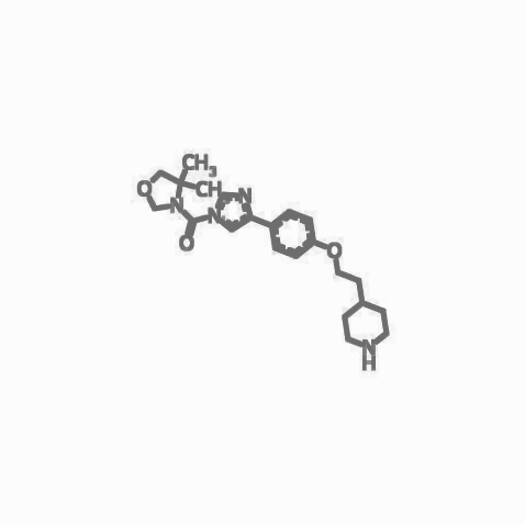 CC1(C)COCN1C(=O)n1cnc(-c2ccc(OCCC3CCNCC3)cc2)c1